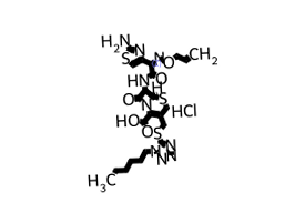 C=CCO/N=C(\C(=O)NC1C(=O)N2C(C(=O)O)=C(CSc3nnnn3CCCCCC)CS[C@H]12)c1csc(N)n1.Cl